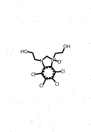 [O-][N+]1(CCO)CN(CCO)c2c(Cl)c(Cl)c(Cl)c(Cl)c21